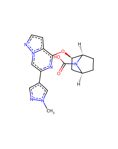 Cn1cc(-c2cn3nccc3c(O[C@@H]3C[C@@H]4CC[C@H]3N4C(=O)O)n2)cn1